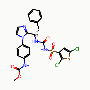 COC(=O)Nc1ccc(-n2ccnc2[C@H](Cc2ccccc2)NC(=O)NS(=O)(=O)c2cc(Cl)sc2Cl)cc1